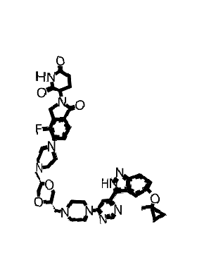 CC1(Oc2ccc3n[nH]c(-c4cc(N5CCN(C[C@H]6CO[C@H](CN7CCN(c8ccc9c(c8F)CN(C8CCC(=O)NC8=O)C9=O)CC7)CO6)CC5)ncn4)c3c2)CC1